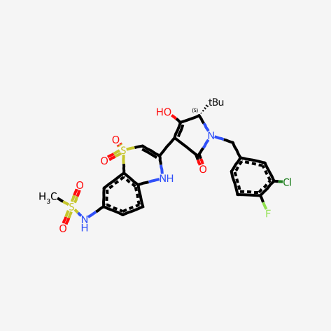 CC(C)(C)[C@H]1C(O)=C(C2=CS(=O)(=O)c3cc(NS(C)(=O)=O)ccc3N2)C(=O)N1Cc1ccc(F)c(Cl)c1